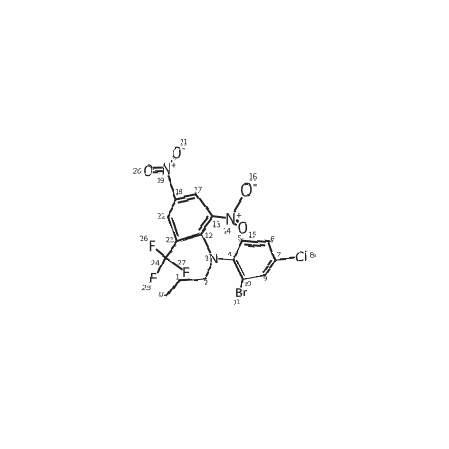 CCCN(c1ccc(Cl)cc1Br)c1c([N+](=O)[O-])cc([N+](=O)[O-])cc1C(F)(F)F